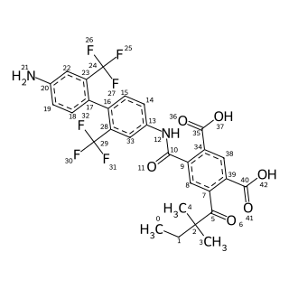 CCC(C)(C)C(=O)c1cc(C(=O)Nc2ccc(-c3ccc(N)cc3C(F)(F)F)c(C(F)(F)F)c2)c(C(=O)O)cc1C(=O)O